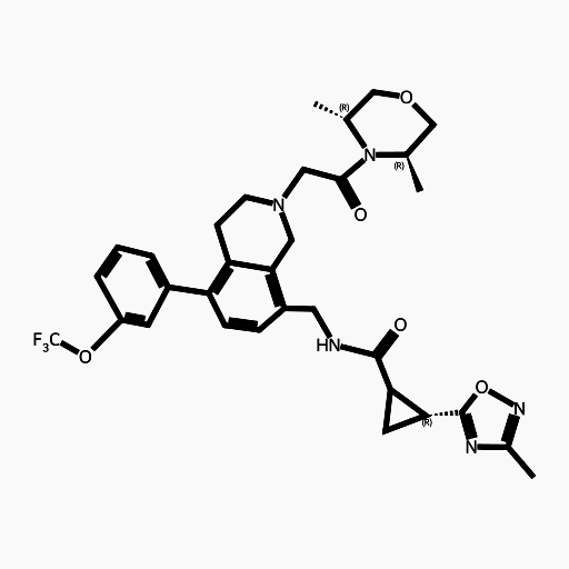 Cc1noc([C@@H]2CC2C(=O)NCc2ccc(-c3cccc(OC(F)(F)F)c3)c3c2CN(CC(=O)N2[C@H](C)COC[C@H]2C)CC3)n1